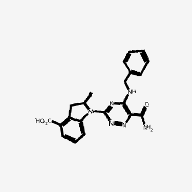 CC1Cc2c(C(=O)O)cccc2N1c1nnc(C(N)=O)c(NCc2ccccc2)n1